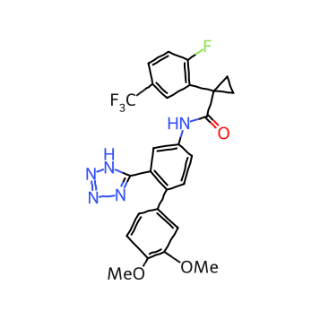 COc1ccc(-c2ccc(NC(=O)C3(c4cc(C(F)(F)F)ccc4F)CC3)cc2-c2nnn[nH]2)cc1OC